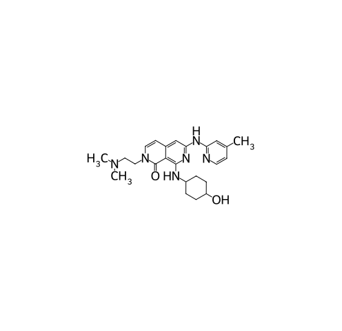 Cc1ccnc(Nc2cc3ccn(CCN(C)C)c(=O)c3c(NC3CCC(O)CC3)n2)c1